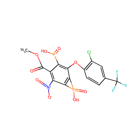 COC(=O)c1c([N+](=O)[O-])c2c(c(Oc3ccc(C(F)(F)F)cc3Cl)c1[P](=O)O)P2(=O)O